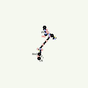 COc1cc(/C=C2\SC(=O)N(CCCCOCCCCOCCCCOc3cc(-c4scnc4C)ccc3CNC(=O)[C@@H]3C[C@@H](O)CN3C(=O)[C@H](C(C)C)N3Cc4ccccc4C3=O)C2=O)ccc1Oc1ccc(C#N)cc1C(F)(F)F